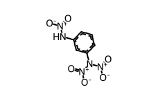 O=[N+]([O-])Nc1cccc(N([N+](=O)[O-])[N+](=O)[O-])c1